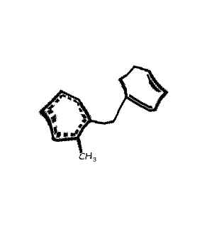 Cc1ccccc1CC1=CC=CCC1